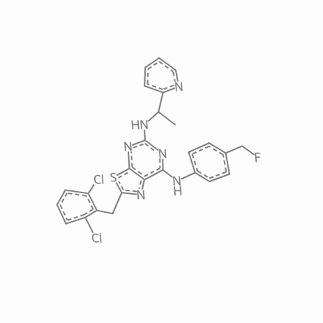 CC(Nc1nc(Nc2ccc(CF)cc2)c2nc(Cc3c(Cl)cccc3Cl)sc2n1)c1ccccn1